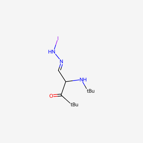 CC(C)(C)NC(/C=N/NI)C(=O)C(C)(C)C